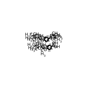 CC(O[Si](C)(C)C(C)(C)C)C(C)(C)Oc1ccc(B(O)O)cc1.CC(O[Si](C)(C)C(C)(C)C)C(C)(C)Oc1ccc(B2OC(C)(C)C(C)(C)O2)cc1